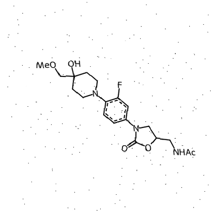 COCC1(O)CCN(c2ccc(N3CC(CNC(C)=O)OC3=O)cc2F)CC1